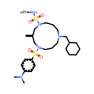 C=C1CN(S(=O)(=O)NCCC)CCCN(CC2CCCCC2)CCCN(S(=O)(=O)c2ccc(N(C)C)cc2)C1